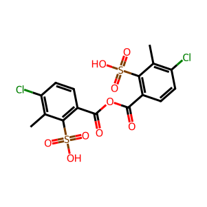 Cc1c(Cl)ccc(C(=O)OC(=O)c2ccc(Cl)c(C)c2S(=O)(=O)O)c1S(=O)(=O)O